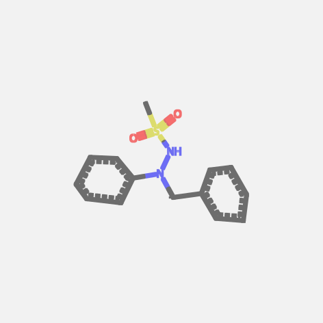 CS(=O)(=O)NN([CH]c1ccccc1)c1ccccc1